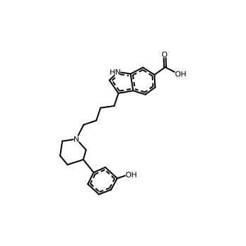 O=C(O)c1ccc2c(CCCCN3CCCC(c4cccc(O)c4)C3)c[nH]c2c1